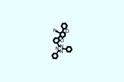 N#Cc1c2c(cc3oc4c(-c5nc(-c6ccccc6)nc(-c6ccccc6)n5)cccc4c13)oc1ccccc12